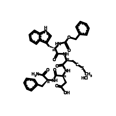 CSCC[C@H](NC(=O)[C@H](Cc1c[nH]c2ccccc12)NC(=O)OCc1ccccc1)C(=O)N[C@@H](CC(=O)O)C(=O)N[C@@H](Cc1ccccc1)C(N)=O.Cl